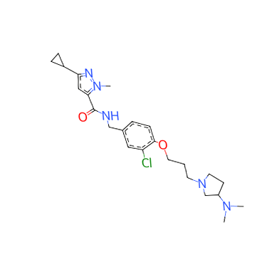 CN(C)C1CCN(CCCOc2ccc(CNC(=O)c3cc(C4CC4)nn3C)cc2Cl)C1